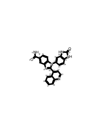 NC(=O)c1ccc2c(c1)nc(-c1ccnc3ccccc13)n2-c1ccc2[nH]c(=O)[nH]c2c1